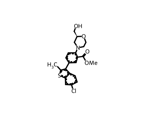 COC(=O)c1cc(-c2c(C)sc3cc(Cl)ccc23)ccc1N1CCO[C@H](CO)C1